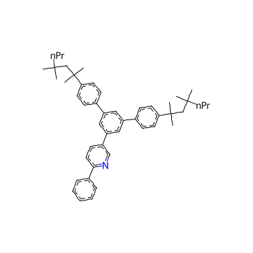 CCCC(C)(C)CC(C)(C)c1ccc(-c2cc(-c3ccc(C(C)(C)CC(C)(C)CCC)cc3)cc(-c3ccc(-c4ccccc4)nc3)c2)cc1